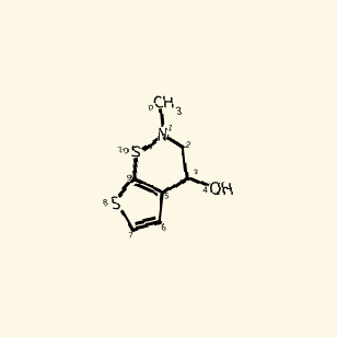 CN1CC(O)c2ccsc2S1